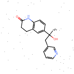 CCCC(O)(Cc1cccnc1)c1ccc2c(c1)CCC(=O)N2